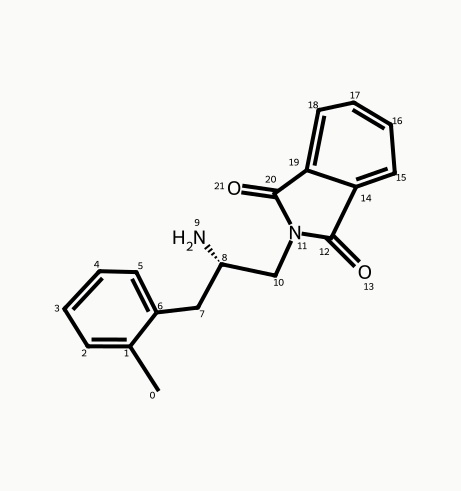 Cc1ccccc1C[C@H](N)CN1C(=O)c2ccccc2C1=O